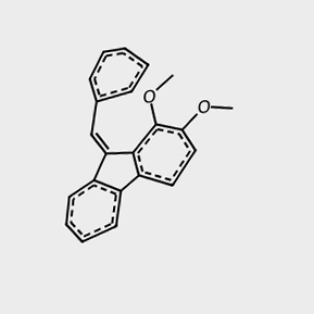 COc1ccc2c(c1OC)C(=Cc1ccccc1)c1ccccc1-2